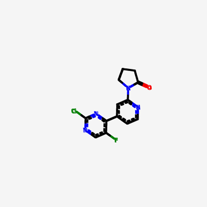 O=C1CCCN1c1cc(-c2nc(Cl)ncc2F)ccn1